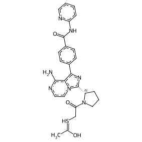 CC(O)=[SH]CC(=O)N1CCC[C@H]1c1nc(-c2ccc(C(=O)Nc3ccccn3)cc2)c2c(N)nccn12